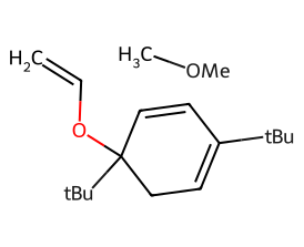 C=COC1(C(C)(C)C)C=CC(C(C)(C)C)=CC1.COC